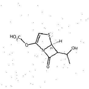 CC(O)C1C(=O)N2C(OC(=O)O)=CS[C@@H]12